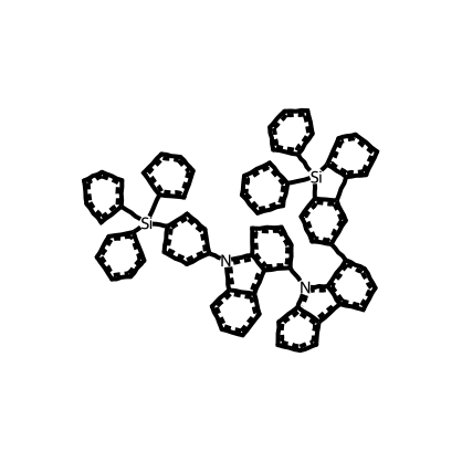 c1ccc([Si](c2ccccc2)(c2ccccc2)c2ccc(-n3c4ccccc4c4c(-n5c6ccccc6c6cccc(-c7ccc8c(c7)-c7ccccc7[Si]8(c7ccccc7)c7ccccc7)c65)cccc43)cc2)cc1